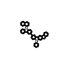 c1ccc(-n2c3ccc(-c4ccc5c(c4)c4ccccc4n5-c4cccc5ccccc45)cc3c3cc4c(cc32)Cc2ccccc2-4)cc1